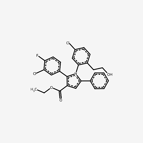 CCOC(=O)c1cc(-c2ccccc2)n(-c2cc(Cl)ccc2CCO)c1-c1ccc(F)c(Cl)c1